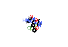 COc1cccc(F)c1-c1c(Cl)cc2c3c(c(=O)n(-c4c(C)ncnc4C(C)C)c2c1F)N(C)C(=O)[C@H]1CN[C@H](C)CN31